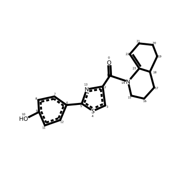 O=C(c1csc(-c2ccc(O)cc2)n1)N1CCCC2CCCC=C21